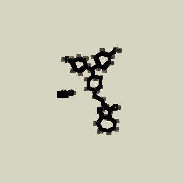 Cl.O.O=c1n(CCN2CCC(=C(c3ccc(F)cc3)c3ccc(F)cc3)CC2)nc2n1CCCCC2